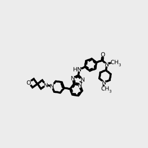 CN1CCC(N(C)C(=O)c2ccc(Nc3nc4c(C5=CCN(N6CC7(COC7)C6)CC5)cccn4n3)cc2)CC1